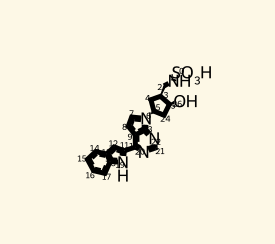 O=S(=O)(O)NC[C@@H]1C[C@@H](n2ccc3c(-c4cc5ccccc5[nH]4)ncnc32)C[C@@H]1O